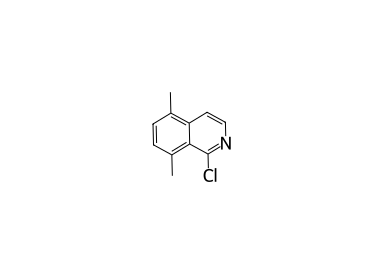 Cc1ccc(C)c2c(Cl)nccc12